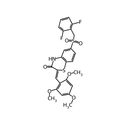 COc1cc(OC)c(C=C2Sc3ccc(S(=O)(=O)Cc4c(F)cccc4F)cc3NC2=O)c(OC)c1